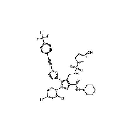 O=C(NN1CCCCC1)c1nn(-c2ccc(Cl)cc2Cl)c(-c2ccc(C#Cc3ccc(C(F)(F)F)cc3)s2)c1CNS(=O)(=O)N1CC[C@@H](O)C1